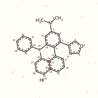 CN(C)c1cc(-c2cocn2)c(-c2ccccc2)c(P(c2ccccc2)c2ccccc2)c1.I